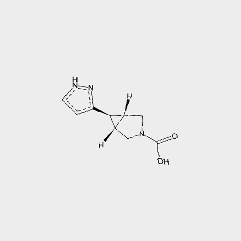 O=C(O)N1C[C@@H]2[C@H](C1)[C@H]2c1cc[nH]n1